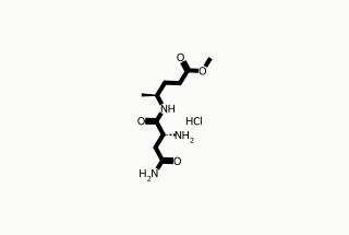 COC(=O)CC[C@H](C)NC(=O)[C@H](N)CC(N)=O.Cl